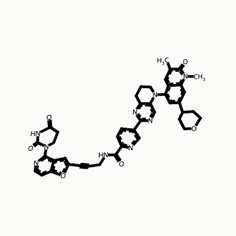 Cc1cc2c(N3CCCc4nc(-c5ccc(C(=O)NCC#Cc6cc7c(N8CCC(=O)NC8=O)nccc7o6)nc5)ncc43)cc(C3CCOCC3)cc2n(C)c1=O